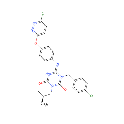 C[C@@H](Cn1c(=O)[nH]/c(=N\c2ccc(Oc3ccc(Cl)nn3)cc2)n(Cc2ccc(Cl)cc2)c1=O)C(=O)O